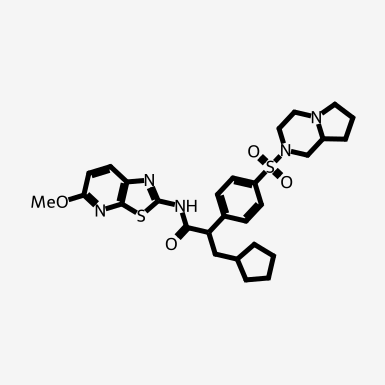 COc1ccc2nc(NC(=O)C(CC3CCCC3)c3ccc(S(=O)(=O)N4CCN5CCCC5C4)cc3)sc2n1